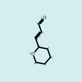 O=C/C=C/C1CCCCO1